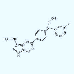 CNc1n[nH]c2ccc(C3=CCN([C@H](CO)c4cccc(Cl)c4)C=C3)cc12